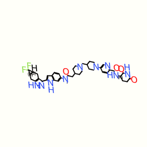 CN(C(=O)CC1CCN(CC2CCN(c3ccc(C(=O)N[C@@H]4CCC(=O)NC4=O)nc3)CC2)CC1)c1ccc2cc(-c3n[nH]c4c3C[C@@H]3C(F)(F)[C@]3(C)C4)[nH]c2c1